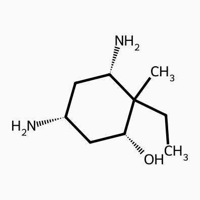 CCC1(C)[C@H](O)C[C@H](N)C[C@@H]1N